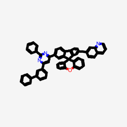 c1ccc(-c2cccc(-c3cc(-c4ccc5c(c4)C4(c6ccccc6Oc6ccccc64)c4cc(-c6ccc7cccnc7c6)ccc4-5)nc(-c4ccccc4)n3)c2)cc1